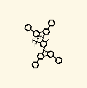 Cc1cc(-n2c3ccc(-c4ccccc4)cc3c3cc(-c4ccccc4)ccc32)cc(C(F)(F)F)c1-n1c2ccc(-c3ccccc3)cc2c2cc(-c3ccccc3)ccc21